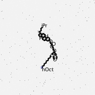 CCCCCCCC/C=C\CCCCCCCCOCC(CN1CCOCC1)OCCOC(=O)CO[C@H]1CC[C@@]2(C)C(=CCC3[C@@H]2CC[C@]2(C)C([C@H](C)CCCC(C)C)CC[C@@H]32)C1